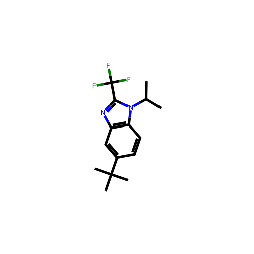 CC(C)n1c(C(F)(F)F)nc2cc(C(C)(C)C)ccc21